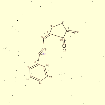 C=C1CCC(=C/C=C/c2ccccc2)C1=O